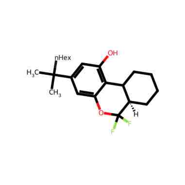 CCCCCCC(C)(C)c1cc(O)c2c(c1)OC(F)(F)[C@@H]1CCCCC21